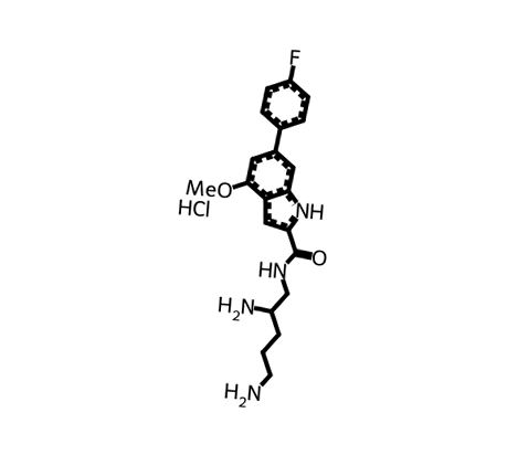 COc1cc(-c2ccc(F)cc2)cc2[nH]c(C(=O)NCC(N)CCCN)cc12.Cl